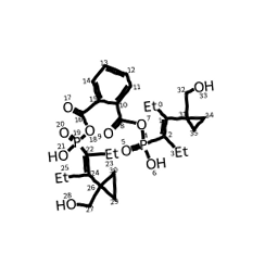 CCC(=C(CC)P(=O)(O)OC(=O)c1ccccc1C(=O)OP(=O)(O)C(CC)=C(CC)C1(CO)CC1)C1(CO)CC1